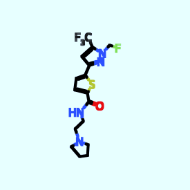 O=C(NCCN1CCCC1)c1ccc(-c2cc(C(F)(F)F)n(CF)n2)s1